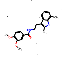 COc1ccc(C(=O)NCCc2c(C)[nH]c3c(C)cccc23)cc1OC